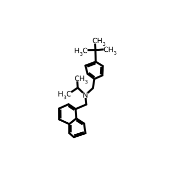 CC(C)N(Cc1ccc(C(C)(C)C)cc1)Cc1cccc2ccccc12